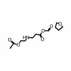 C1CCOC1.CC(=O)OCCNCCC(=O)OC=O